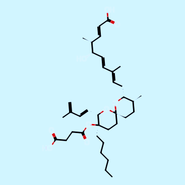 C=C(C)/C=C/[C@@H]1O[C@@]2(CC[C@H](C)[C@@H](C/C=C(C)/C=C/[C@H](O)[C@@H](C)/C=C/C(=O)O)O2)CC[C@@]1(CCCCCC)OC(=O)CCC(=O)O